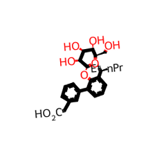 CCC[C@H](CC)c1cccc(-c2cccc(CC(=O)O)c2)c1O[C@H]1O[C@H](CO)[C@@H](O)[C@H](O)[C@@H]1O